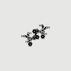 O=S(=O)(ONc1nc(Nc2ccccc2)nc(N(CCO)CCO)n1)c1ccccc1C=Cc1ccccc1S(=O)(=O)ONc1nc(Nc2ccccc2)nc(N(CCO)CCO)n1